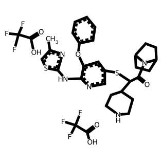 Cc1csc(Nc2ncc(SC(C(=O)N3C4CCC3CC4)C3CCNCC3)cc2Oc2ccccc2)n1.O=C(O)C(F)(F)F.O=C(O)C(F)(F)F